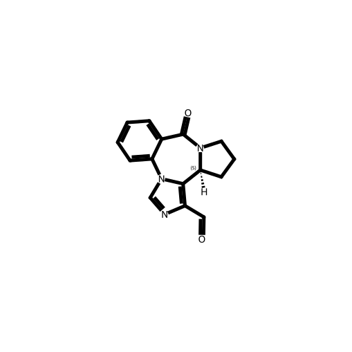 O=Cc1ncn2c1[C@@H]1CCCN1C(=O)c1ccccc1-2